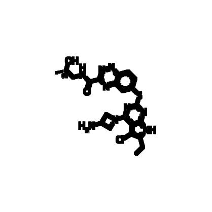 CCc1[nH]c2nc(Sc3ccc4nnc(C(=O)NC[C@H](C)O)nc4c3)nc(N3CC(N)C3)c2c1Cl